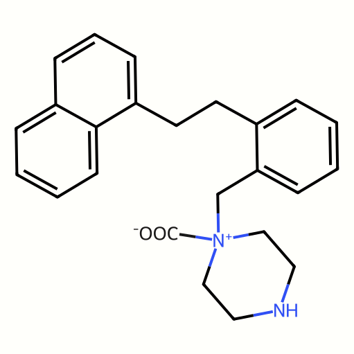 O=C([O-])[N+]1(Cc2ccccc2CCc2cccc3ccccc23)CCNCC1